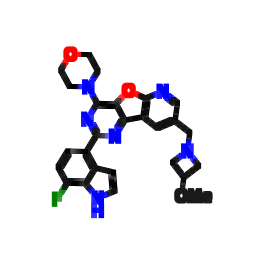 COC1CN(Cc2cnc3oc4c(N5CCOCC5)nc(-c5ccc(F)c6[nH]ccc56)nc4c3c2)C1